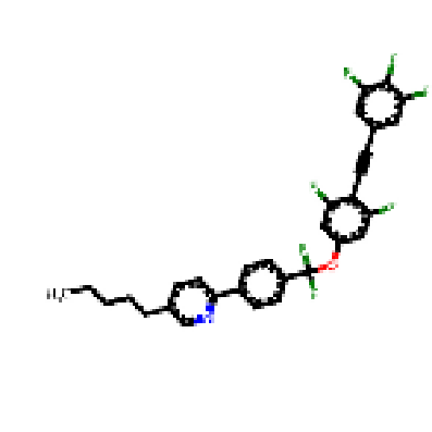 CCCCCc1ccc(-c2ccc(C(F)(F)Oc3cc(F)c(C#Cc4cc(F)c(F)c(F)c4)c(F)c3)cc2)nc1